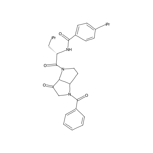 CC(C)C[C@H](NC(=O)c1ccc(C(C)C)cc1)C(=O)N1CCC2C1C(=O)CN2C(=O)c1ccccc1